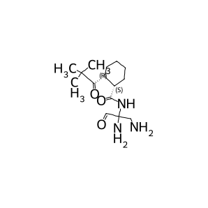 CC(C)(C)C(=O)[C@@H]1CCCC[C@@H]1C(=O)NC(N)(C=O)CN